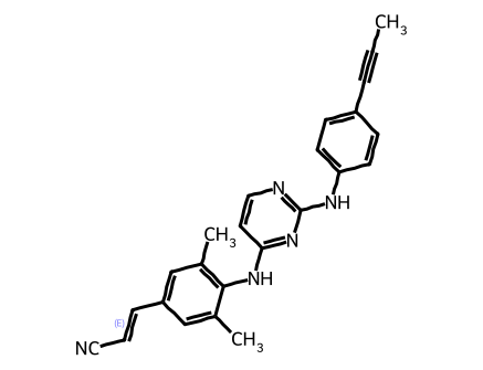 CC#Cc1ccc(Nc2nccc(Nc3c(C)cc(/C=C/C#N)cc3C)n2)cc1